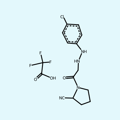 N#CC1CCCN1C(=O)CNNc1ccc(Cl)cc1.O=C(O)C(F)(F)F